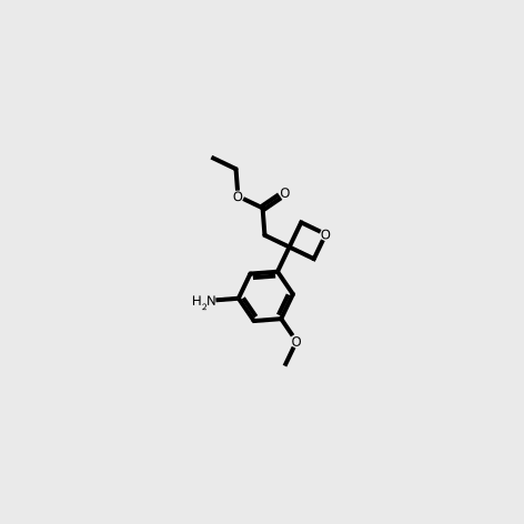 CCOC(=O)CC1(c2cc(N)cc(OC)c2)COC1